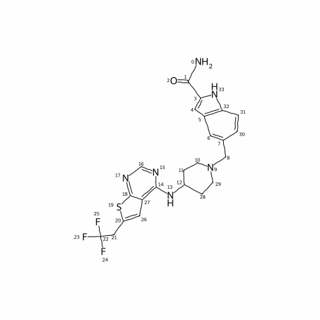 NC(=O)c1cc2cc(CN3CCC(Nc4ncnc5sc(CC(F)(F)F)cc45)CC3)ccc2[nH]1